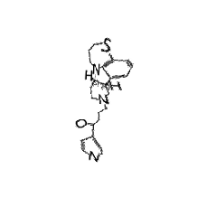 O=C(CCCN1CC[C@H]2[C@@H](C1)c1cccc3c1N2CCCS3)c1ccncc1